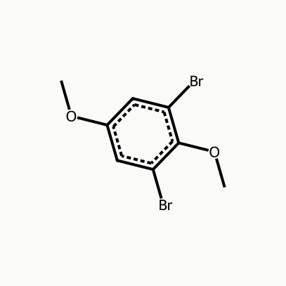 COc1cc(Br)c(OC)c(Br)c1